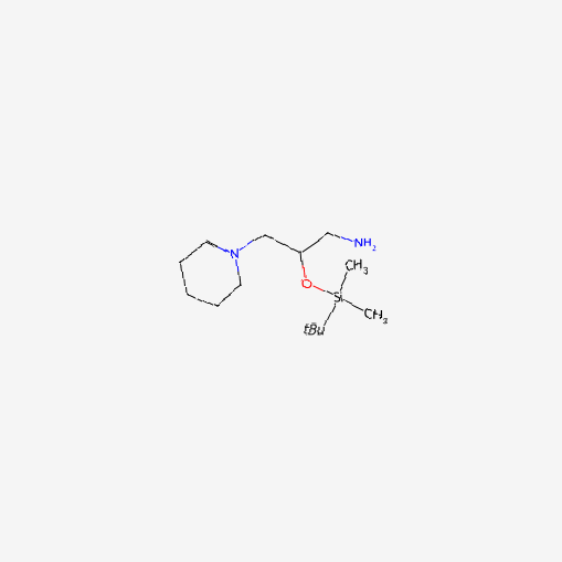 CC(C)(C)[Si](C)(C)OC(CN)CN1CCCCC1